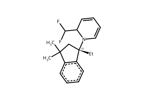 CC[C@]1(N2C=CC=CC2C(F)F)CC(C)(C)c2ccccc21